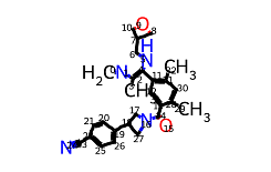 C=N/C(C)=C(\NCC1COC1)c1cc(C(=O)N2CC(c3ccc(C#N)cc3)C2)c(C)cc1C